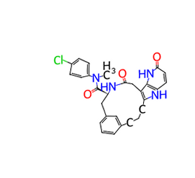 CN(C(=O)[C@@H]1Cc2cccc(c2)CCCc2[nH]c3ccc(=O)[nH]c3c2CC(=O)N1)c1ccc(Cl)cc1